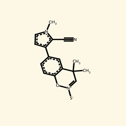 Cn1ccc(-c2ccc3c(c2)C(C)(C)C=[N+]([S-])O3)c1C#N